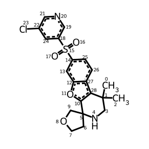 CC1(C)CNC2(CCOC2)c2oc3cc(S(=O)(=O)c4cncc(Cl)c4)ccc3c21